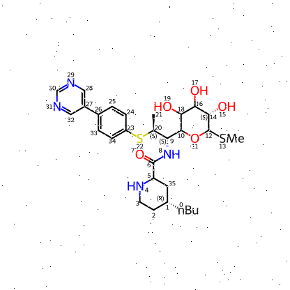 CCCC[C@@H]1CCNC(C(=O)N[C@@H](C2OC(SC)[C@@H](O)C(O)C2O)[C@H](C)Sc2ccc(-c3cncnc3)cc2)C1